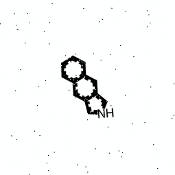 c1ccc2cc3c[nH]cc3cc2c1